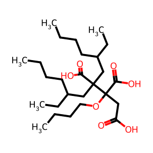 CCCCOC(CC(=O)O)(C(=O)O)C(CC(CC)CCCC)(CC(CC)CCCC)C(=O)O